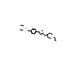 O=C(O)CN1CCC(O)(CC2CC(c3ccc(C=NN4CCOCC4)cc3)=NO2)CC1